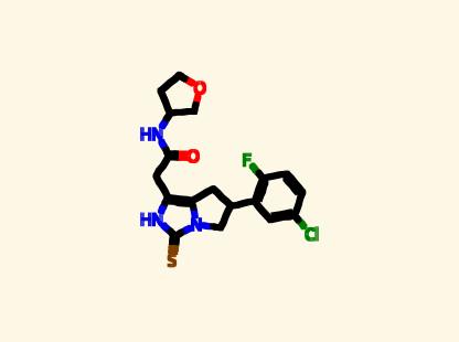 O=C(Cc1[nH]c(=S)n2c1CC(c1cc(Cl)ccc1F)C2)NC1CCOC1